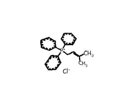 CC(C)=CC[P+](c1ccccc1)(c1ccccc1)c1ccccc1.[Cl-]